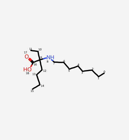 CCCCCCCCNC(CC)(CCCC)C(=O)O